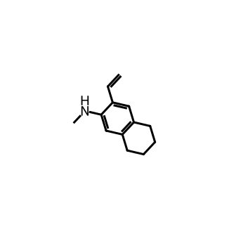 C=Cc1cc2c(cc1NC)CCCC2